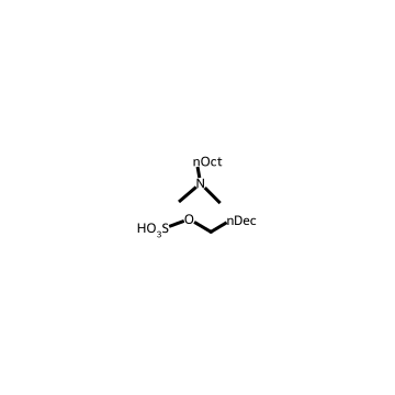 CCCCCCCCCCCOS(=O)(=O)O.CCCCCCCCN(C)C